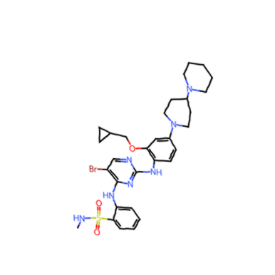 CNS(=O)(=O)c1ccccc1Nc1nc(Nc2ccc(N3CCC(N4CCCCC4)CC3)cc2OCC2CC2)ncc1Br